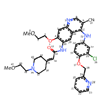 COCCOc1cc2ncc(C#N)c(Nc3ccc(OCc4ccccn4)c(Cl)c3)c2cc1NC(=O)C=C1CCN(CCOC)CC1